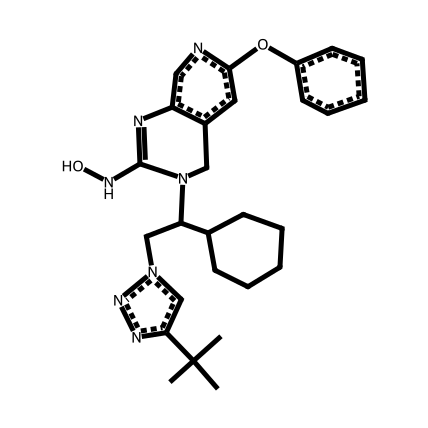 CC(C)(C)c1cn(CC(C2CCCCC2)N2Cc3cc(Oc4ccccc4)ncc3N=C2NO)nn1